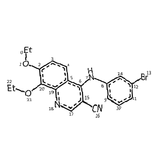 CCOc1ccc2c(Nc3cccc(Br)c3)c(C#N)cnc2c1OCC